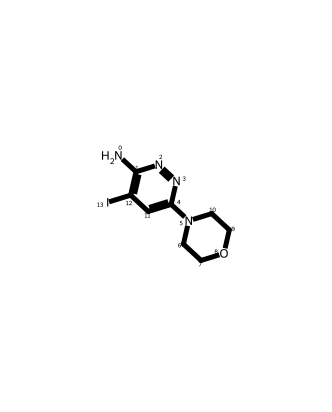 Nc1nnc(N2CCOCC2)cc1I